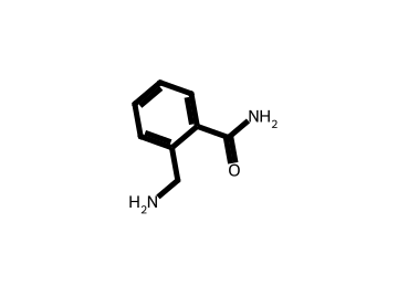 NCc1ccccc1C(N)=O